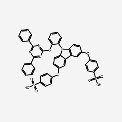 O=S(=O)(O)c1ccc(Oc2ccc3c(c2)c2cc(Oc4ccc(S(=O)(=O)O)cc4)ccc2n3-c2ccccc2Oc2nc(-c3ccccc3)nc(-c3ccccc3)n2)cc1